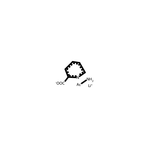 CC(N)=O.O=C([O-])c1ccccn1.[Li+]